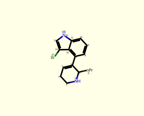 CCCC1NCCC=C1c1cccc2[nH]cc(Br)c12